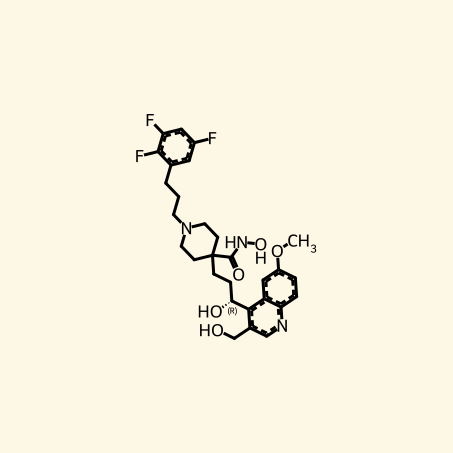 COc1ccc2ncc(CO)c([C@H](O)CCC3(C(=O)NO)CCN(CCCc4cc(F)cc(F)c4F)CC3)c2c1